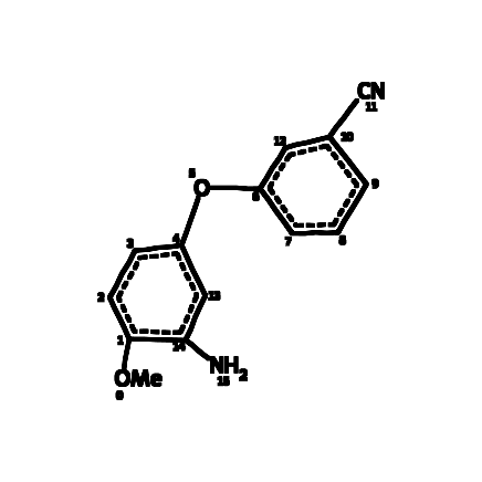 COc1ccc(Oc2cccc(C#N)c2)cc1N